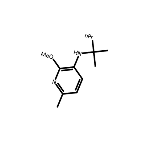 CCCC(C)(C)Nc1ccc(C)nc1OC